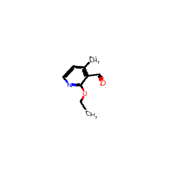 CCOc1nccc(C)c1C=O